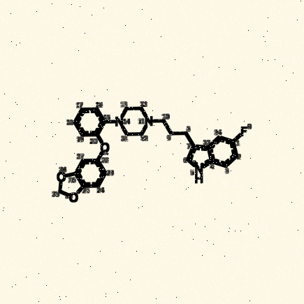 Fc1ccc2[nH]cc(CCCN3CCN(c4ccccc4Oc4ccc5c(c4)OCO5)CC3)c2c1